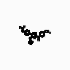 C[C@H]1CC[C@H](Nc2ncc(-c3ccc(OC(F)F)cc3)c(OC3CCC3)n2)CC1